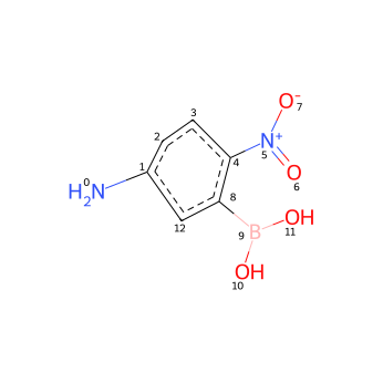 Nc1ccc([N+](=O)[O-])c(B(O)O)c1